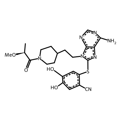 CO[C@@H](C)C(=O)N1CCC(CCn2c(Sc3cc(O)c(O)cc3C#N)nc3c(N)ncnc32)CC1